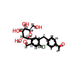 CC(=O)c1ccc(Cc2cc3c(cc2Cl)CO[C@]32O[C@H](CO)[C@@H](O)[C@H](O)[C@H]2O)cc1